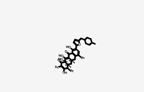 CC(=O)C1=C(O)C(C(C)C)[C@@]2(C)C[C@@]3(C)Cc4c(C(C)C)cc(-c5ccc(CC6CCC(C)CC6)o5)c(O)c4C(=O)C3=C(O)[C@@]2(O)C1=O